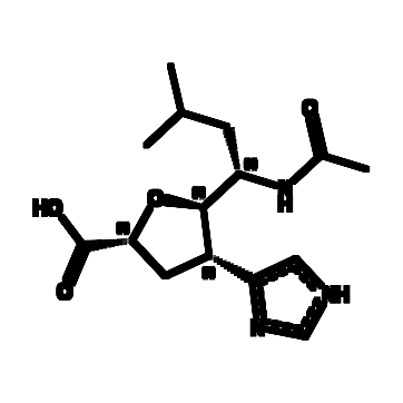 CC(=O)N[C@@H](CC(C)C)[C@@H]1O[C@@H](C(=O)O)C[C@H]1c1c[nH]cn1